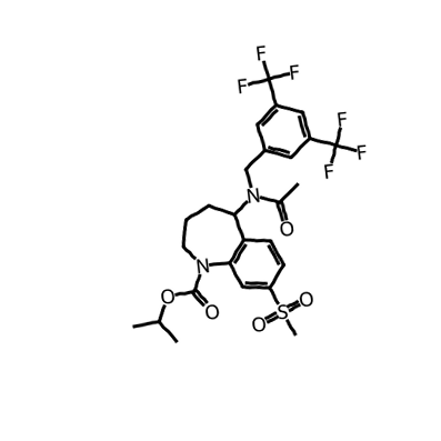 CC(=O)N(Cc1cc(C(F)(F)F)cc(C(F)(F)F)c1)C1CCCN(C(=O)OC(C)C)c2cc(S(C)(=O)=O)ccc21